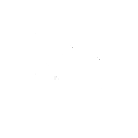 Nc1ncc(Br)cc1NS(=O)(=O)C1CC1